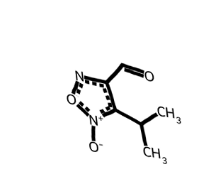 CC(C)c1c(C=O)no[n+]1[O-]